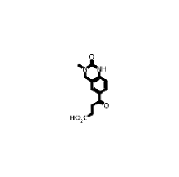 CN1Cc2cc(C(=O)CCC(=O)O)ccc2NC1=O